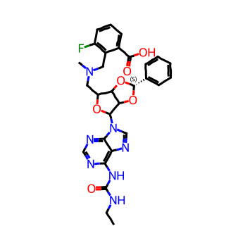 CCNC(=O)Nc1ncnc2c1ncn2C1OC(CN(C)Cc2c(F)cccc2C(=O)O)C2O[C@H](c3ccccc3)OC21